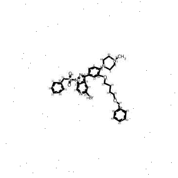 CN1CCN(c2ccc(-c3nn(S(=O)(=O)Cc4ccccc4)c4cnc(Br)cc34)cc2OCCCCOCc2ccccc2)CC1